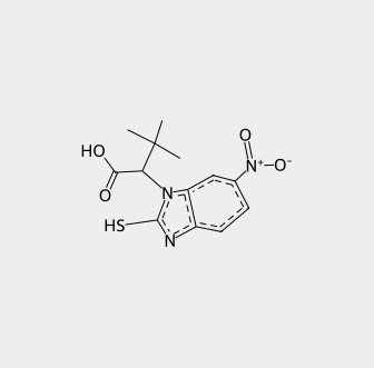 CC(C)(C)C(C(=O)O)n1c(S)nc2ccc([N+](=O)[O-])cc21